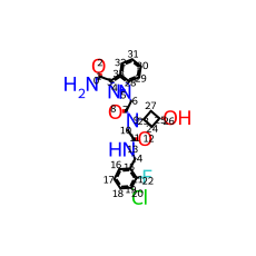 NC(=O)c1nn(CC(=O)N(CC(=O)NCc2cccc(Cl)c2F)[C@H]2C[C@@H](O)C2)c2ccccc12